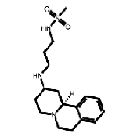 CS(=O)(=O)NCCCN[C@@H]1CCN2CCc3ccccc3[C@@H]2C1